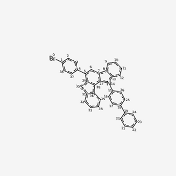 Brc1ccc(-c2cc3c4ccccc4n(-c4ccc(-c5ccccc5)cc4)c3c3c2sc2ccccc23)cc1